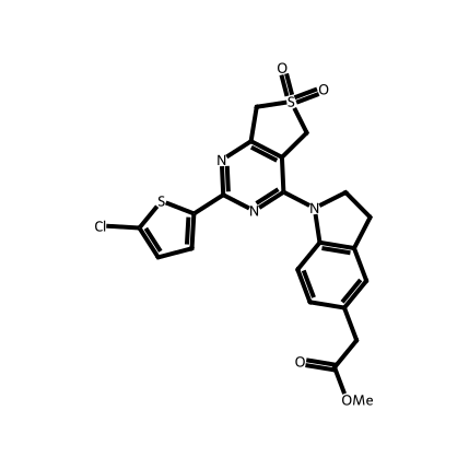 COC(=O)Cc1ccc2c(c1)CCN2c1nc(-c2ccc(Cl)s2)nc2c1CS(=O)(=O)C2